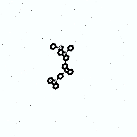 c1ccc(-n2ncc3c2ccc2c4cc(-c5ccc6c(c5)c5ccccc5n6-c5ccc(-n6c7ccccc7c7ccccc76)cc5)ccc4n(-c4ccccc4)c23)cc1